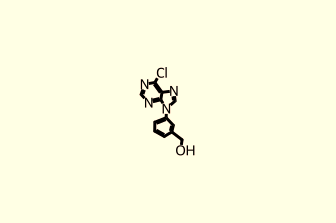 OCc1cccc(-n2cnc3c(Cl)ncnc32)c1